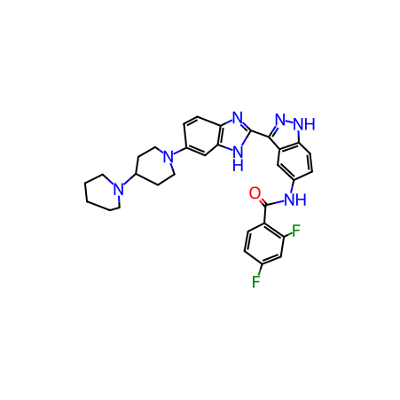 O=C(Nc1ccc2[nH]nc(-c3nc4ccc(N5CCC(N6CCCCC6)CC5)cc4[nH]3)c2c1)c1ccc(F)cc1F